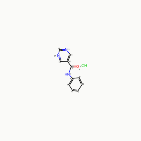 Cl.O=C(Nc1ccccc1)c1cncnc1